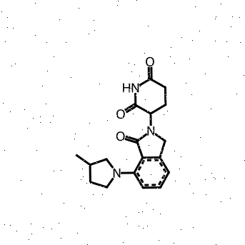 CC1CCN(c2cccc3c2C(=O)N(C2CCC(=O)NC2=O)C3)C1